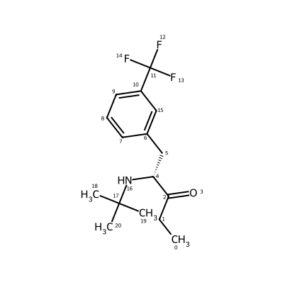 CCC(=O)[C@@H](Cc1cccc(C(F)(F)F)c1)NC(C)(C)C